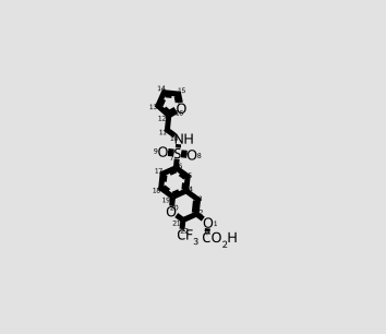 O=C(O)OC1=Cc2cc(S(=O)(=O)NCc3ccco3)ccc2OC1C(F)(F)F